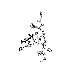 CCNC(=O)N1CCC(OCC(=O)OCC)(c2cc(Br)[nH]n2)C1